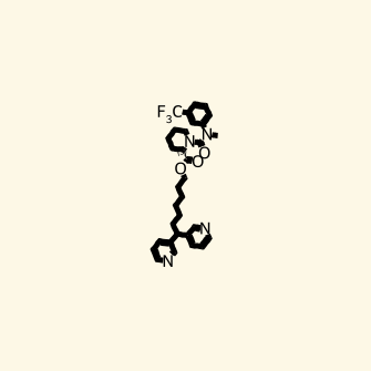 CN(C(=O)N1CCCC[C@H]1C(=O)OCCCCCCC(c1cccnc1)c1cccnc1)c1cccc(C(F)(F)F)c1